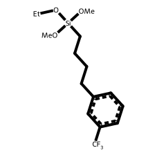 CCO[Si](CCCCc1cccc(C(F)(F)F)c1)(OC)OC